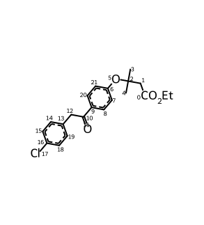 CCOC(=O)CC(C)(C)Oc1ccc(C(=O)Cc2ccc(Cl)cc2)cc1